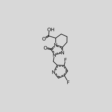 O=C(O)C1CCCc2nn(Cc3ncc(F)cc3F)c(=O)n21